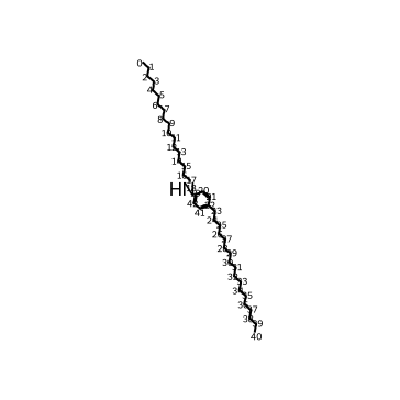 CCCCCCCCCCCCCCCCCCNc1ccc(CCCCCCCCCCCCCCCCCC)cc1